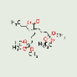 CCC1CC(CCC[Si](OC)(OC)OC)(CCC[Si](OC)(OC)OC)C(=O)O1